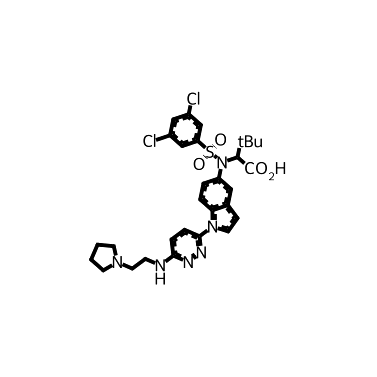 CC(C)(C)C(C(=O)O)N(c1ccc2c(ccn2-c2ccc(NCCN3CCCC3)nn2)c1)S(=O)(=O)c1cc(Cl)cc(Cl)c1